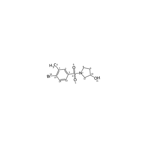 Cc1cc(S(=O)(=O)N2CCC(O)C2)ccc1Br